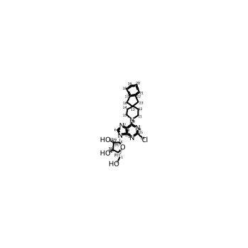 OC[C@H]1O[C@@H](n2cnc3c(N4CCC5(CC4)Cc4ccccc4C5)nc(Cl)nc32)[C@H](O)[C@@H]1O